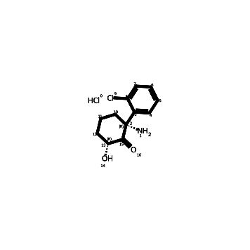 Cl.N[C@@]1(c2ccccc2Cl)CCC[C@@H](O)C1=O